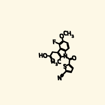 COc1ccc2c(c1F)c(CC(=O)O)c(C)n2C(=O)c1ccc(C#N)s1